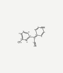 N#CC(=C1C=CNC=C1)c1ccnc(Cl)n1